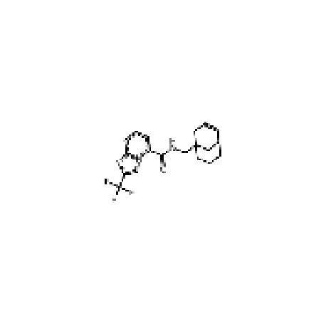 O=C(NCC12CC=CC(CCC1)C2)c1cccc2nc(C(F)(F)F)cn12